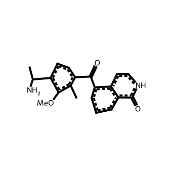 COc1c(C(C)N)ccc(C(=O)c2cccc3c(=O)[nH]ccc23)c1C